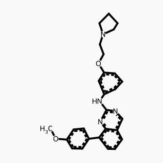 COc1ccc(-c2cccc3cnc(Nc4cccc(OCCN5CCCC5)c4)nc23)cc1